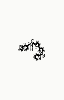 O=C(NCc1ccn2ccnc2c1)c1ccc(C2CCN(C(=O)c3ccccn3)C2)s1